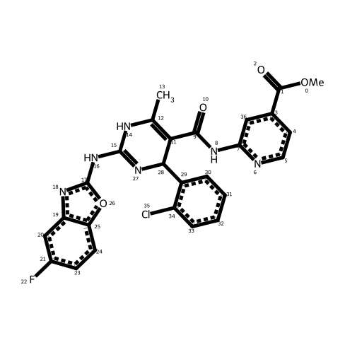 COC(=O)c1ccnc(NC(=O)C2=C(C)NC(Nc3nc4cc(F)ccc4o3)=NC2c2ccccc2Cl)c1